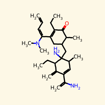 C=C/C=C(\C1=C(CC)C(=O)C(C)C(CC2(N)C(C)C=C(C(=C)N)C(=C)C2CC)C1)N(C)C